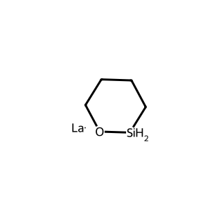 C1CC[SiH2]OC1.[La]